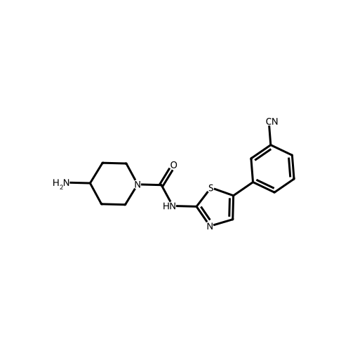 N#Cc1cccc(-c2cnc(NC(=O)N3CCC(N)CC3)s2)c1